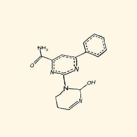 NC(=O)c1cc(-c2ccccc2)nc(N2CCC=NC2O)n1